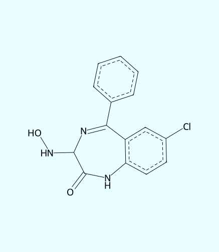 O=C1Nc2ccc(Cl)cc2C(c2ccccc2)=NC1NO